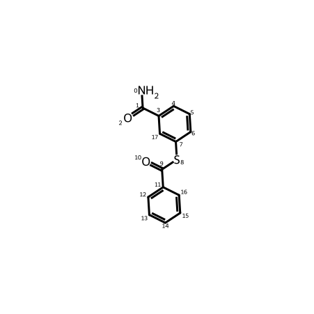 NC(=O)c1cccc(SC(=O)c2ccccc2)c1